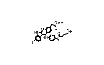 COC(=O)Cc1ccc(C(Nc2ccc(N(C)C(=O)CCCN(C)C)cc2)=C2C(=O)Nc3cc(F)ccc32)cc1